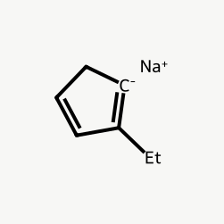 CCC1=[C-]CC=C1.[Na+]